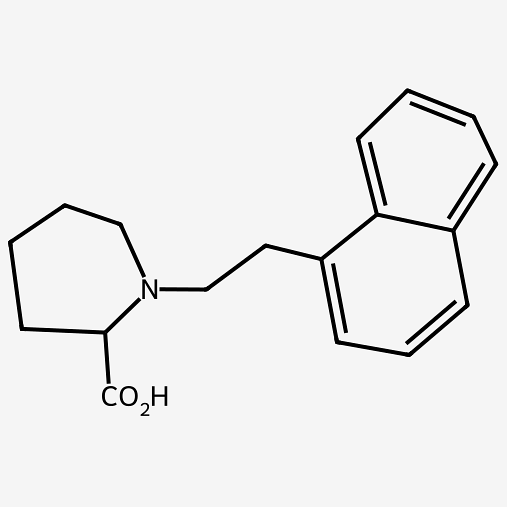 O=C(O)C1CCCCN1CCc1cccc2ccccc12